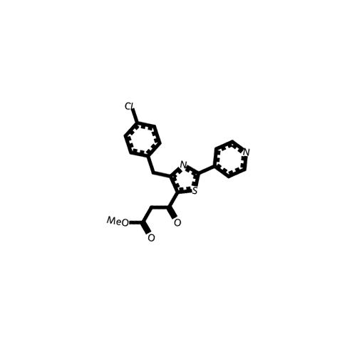 COC(=O)CC(=O)c1sc(-c2ccncc2)nc1Cc1ccc(Cl)cc1